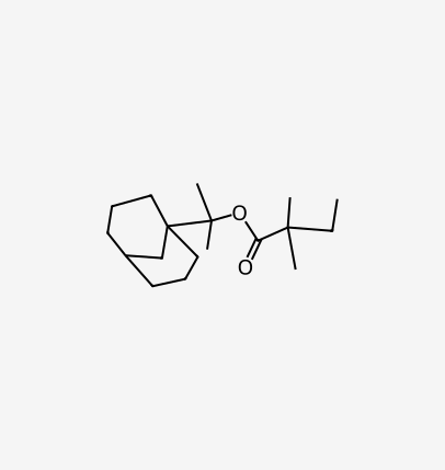 CCC(C)(C)C(=O)OC(C)(C)C12CCCC(CCC1)C2